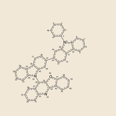 c1ccc(-n2c3ccccc3c3ccc(-c4ccc5c6ccccc6n(-c6c7ccccc7nc7c6oc6ccccc67)c5c4)cc32)cc1